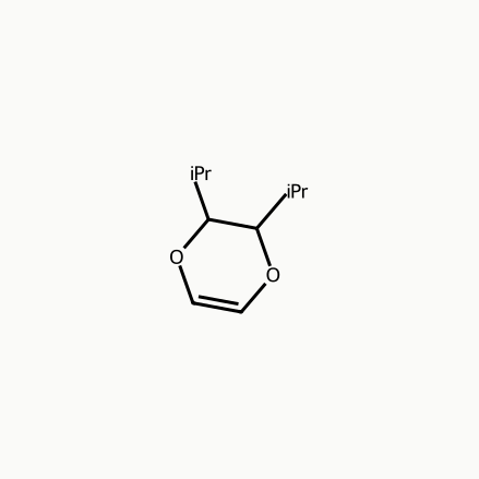 CC(C)C1OC=COC1C(C)C